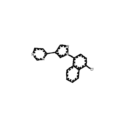 Clc1ccc(-n2cc(-c3ccncn3)cn2)c2ccccc12